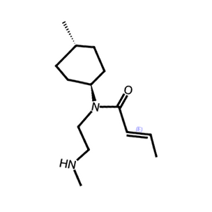 C/C=C/C(=O)N(CCNC)[C@H]1CC[C@H](C)CC1